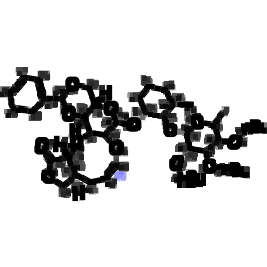 CCCCOC1[C@H](OCCCC)C(C)O[C@@H](OC2[C@H](C)CCC[C@H]2O[C@@H]2O[C@H]3COC(c4ccccc4)O[C@@H]3C3O[C@H]4C(=O)OC[C@@H]4C/C=C\OC32)[C@H]1OCCCC